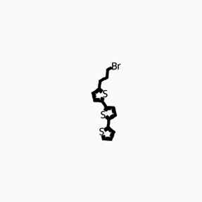 BrCCCc1ccc(-c2ccc(-c3cccs3)s2)s1